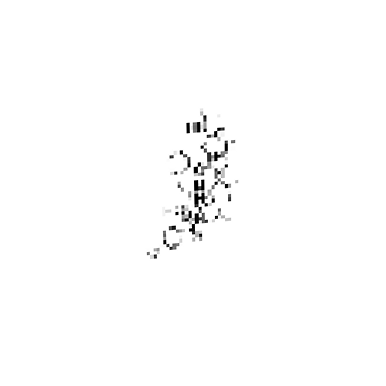 COc1ccc(S(=O)(=O)N(CC(C)C)C[C@H](O)[C@H](Cc2ccccc2)NC(=O)[C@H](C(C)C)N2CC(=O)N(CC(=O)NC(C)C)C2=O)cc1